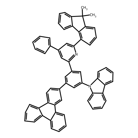 CC1(C)c2ccccc2-c2c(-c3cc(-c4ccccc4)cc(-c4cc(-c5ccc6c7ccccc7c7ccccc7c6c5)cc(-n5c6ccccc6c6ccccc65)c4)n3)cccc21